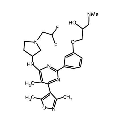 CNCC(O)COc1cccc(-c2nc(NC3CCN(CC(F)F)C3)c(C)c(-c3c(C)noc3C)n2)c1